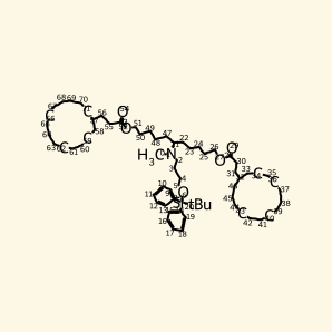 CN(CCCCO[Si](c1ccccc1)(c1ccccc1)C(C)(C)C)C(CCCCCOC(=O)CCC1CCCCCCCCCCCCCC1)CCCCCOC(=O)CCC1CCCCCCCCCCCCCC1